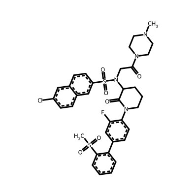 CN1CCN(C(=O)CN(C2CCCN(c3ccc(-c4ccccc4S(C)(=O)=O)cc3F)C2=O)S(=O)(=O)c2ccc3cc(Cl)ccc3c2)CC1